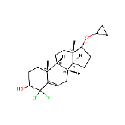 C[C@]12CCC(O)C(Cl)(Cl)C1=CC[C@@H]1[C@H]2CC[C@]2(C)C(OC3CC3)CC[C@@H]12